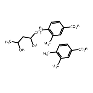 CC(O)CC(C)O.Cc1ccc(C(=O)O)cc1C.Cc1ccc(C(=O)O)cc1C